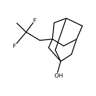 CC(F)(F)CC12CC3CC(CC(O)(C3)C1)C2